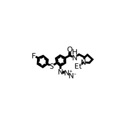 CCN1CCCC1CNC(=O)c1ccc(Sc2ccc(F)cc2)c(N=[N+]=[N-])c1